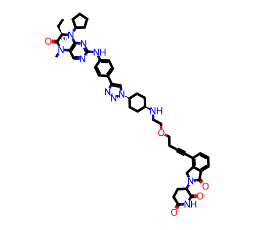 CC[C@@H]1C(=O)N(C)c2cnc(Nc3ccc(-c4cn([C@H]5CC[C@H](NCCOCCC#Cc6cccc7c6CN(C6CCC(=O)NC6=O)C7=O)CC5)nn4)cc3)nc2N1C1CCCC1